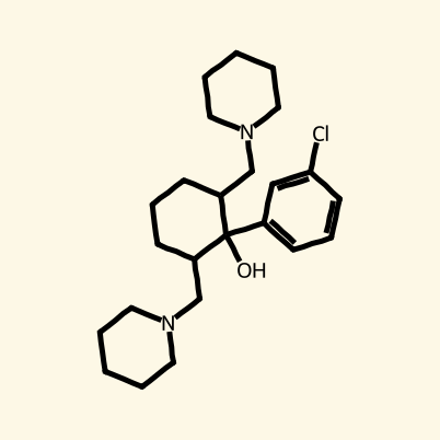 OC1(c2cccc(Cl)c2)C(CN2CCCCC2)CCCC1CN1CCCCC1